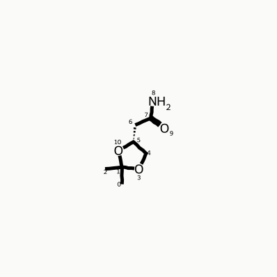 CC1(C)OC[C@@H](CC(N)=O)O1